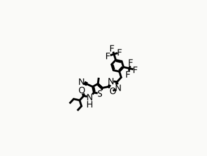 CCC(CC)C(=O)Nc1sc(-c2nc(Cc3ccc(C(F)(F)F)cc3C(F)(F)F)no2)c(C)c1C#N